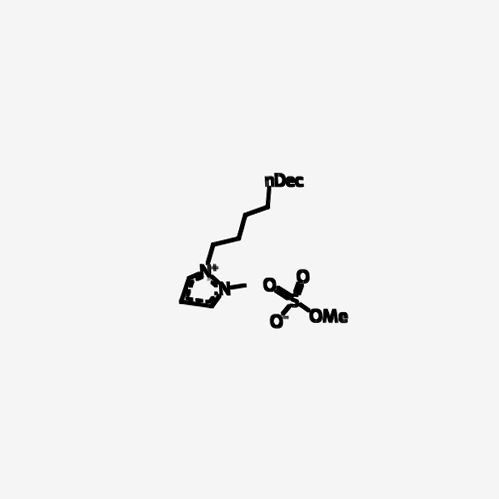 CCCCCCCCCCCCCC[n+]1cccn1C.COS(=O)(=O)[O-]